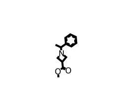 COC(=O)C1CN(C(C)c2ccccc2)C1